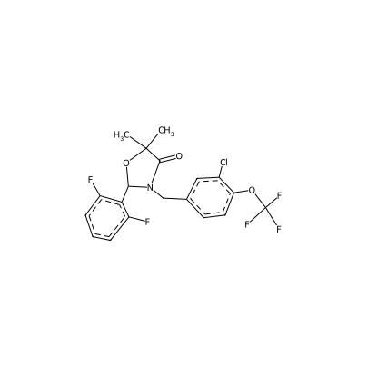 CC1(C)OC(c2c(F)cccc2F)N(Cc2ccc(OC(F)(F)F)c(Cl)c2)C1=O